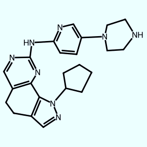 c1cc(Nc2ncc3c(n2)-c2c(cnn2C2CCCC2)CC3)ncc1N1CCNCC1